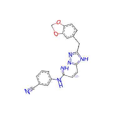 N#Cc1cccc(NC(=N)/C=C\c2nnc(Cc3ccc4c(c3)OCO4)[nH]2)c1